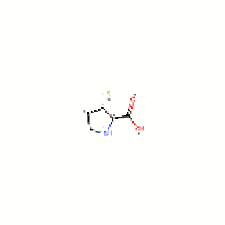 O=C(O)[C@@H]1CCCN1.S